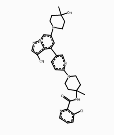 CC1(O)CCN(c2cc(-c3ccc(N4CCC(C)(NC(=O)c5ncccc5Cl)CC4)nc3)c3c(C#N)cnn3c2)CC1